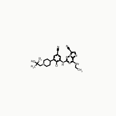 CCNc1nc(Nc2cc(C#N)cc(C3CCN(CC(C)(C)O)CC3)c2Cl)nn2c(C#N)cnc12